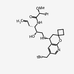 C=CC[C@H](NC(=O)[C@@H](OC)C(C)C)[C@H](O)CN[C@H]1CC2(CCC2)Oc2ncc(CC(C)(C)C)cc21